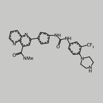 CNC(=O)c1cc(-c2ccc(NC(=O)Nc3ccc(N4CCNCC4)c(C(F)(F)F)c3)cc2)nc2cccnc12